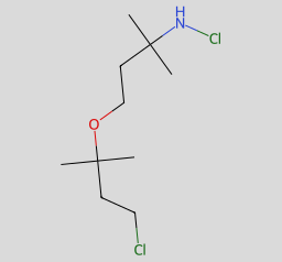 CC(C)(CCOC(C)(C)CCCl)NCl